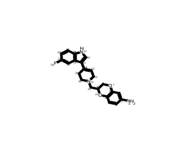 Nc1ccc2c(c1)OCC(CN1CC=C(c3c[nH]c4ccc(F)cc34)CC1)O2